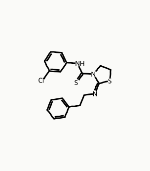 S=C(Nc1cccc(Cl)c1)N1CCS/C1=N/CCc1ccccc1